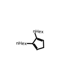 CCCCCCC1=[C]CC=C1CCCCCC